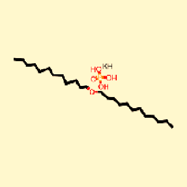 CCCCCCCCCCCCOCCCCCCCCCCCC.O=P(O)(O)O.[KH]